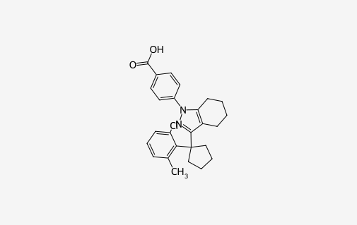 Cc1cccc(Cl)c1C1(c2nn(-c3ccc(C(=O)O)cc3)c3c2CCCC3)CCCC1